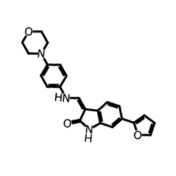 O=C1Nc2cc(-c3ccco3)ccc2/C1=C/Nc1ccc(N2CCOCC2)cc1